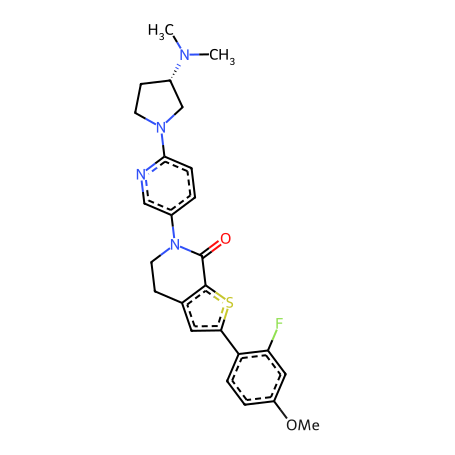 COc1ccc(-c2cc3c(s2)C(=O)N(c2ccc(N4CC[C@H](N(C)C)C4)nc2)CC3)c(F)c1